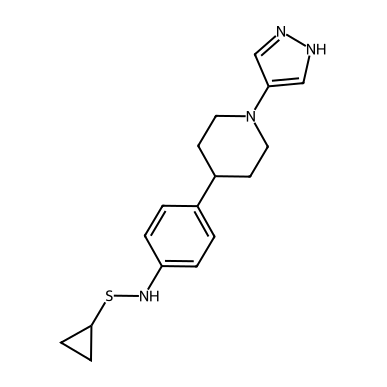 c1cc(C2CCN(c3cn[nH]c3)CC2)ccc1NSC1CC1